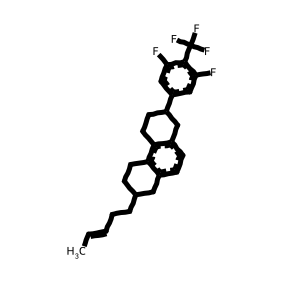 C/C=C/CCC1CCc2c(ccc3c2CCC(c2cc(F)c(C(F)(F)F)c(F)c2)C3)C1